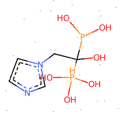 OP(O)C(O)(Cn1ccnc1)[PH](O)(O)O